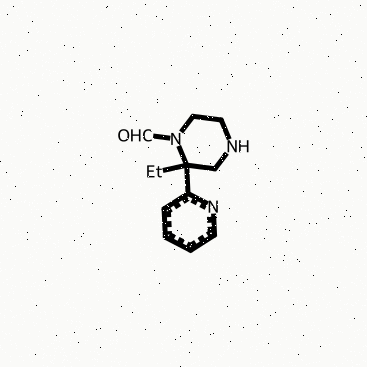 CCC1(c2ccccn2)CNCCN1C=O